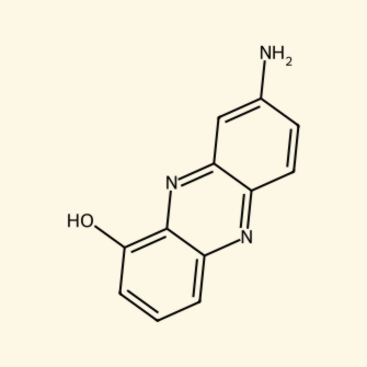 Nc1ccc2nc3cccc(O)c3nc2c1